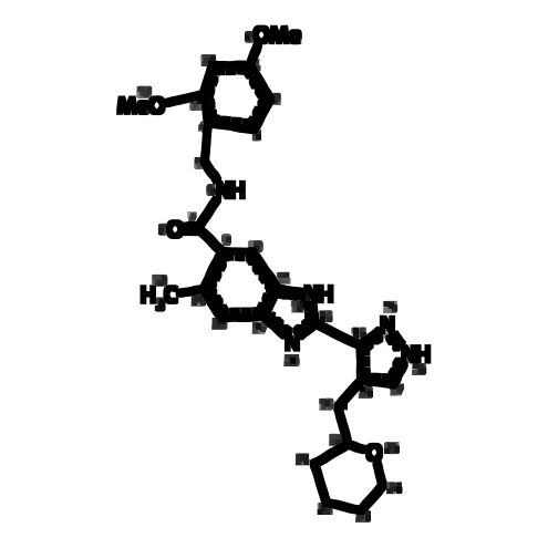 COc1ccc(CNC(=O)c2cc3[nH]c(-c4n[nH]cc4[CH]C4CCCCO4)nc3cc2C)c(OC)c1